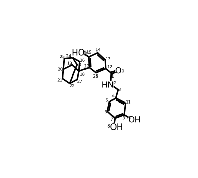 O=C(NCc1ccc(O)c(O)c1)c1ccc(O)c(C23CC4CC(CC(C4)C2)C3)c1